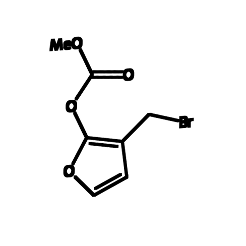 COC(=O)Oc1occc1CBr